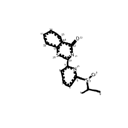 CC(C)[S+]([O-])c1cccc(-c2nc(=O)c3ccccc3s2)n1